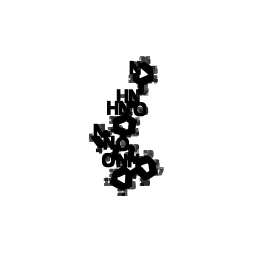 O=C(Cn1ccnc1)Nc1ccccc1-c1ccccc1CCOc1ccc(NC(=O)NCc2cccnc2)cc1